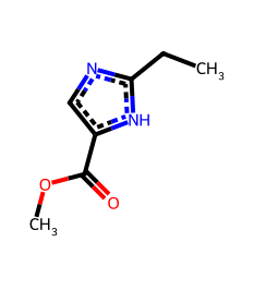 CCc1ncc(C(=O)OC)[nH]1